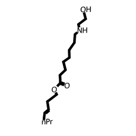 CCCC=CCCOC(=O)CCCCCCCNCCO